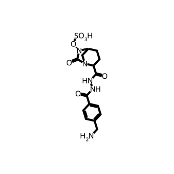 NCc1ccc(C(=O)NNC(=O)C2CCC3CN2C(=O)N3OS(=O)(=O)O)cc1